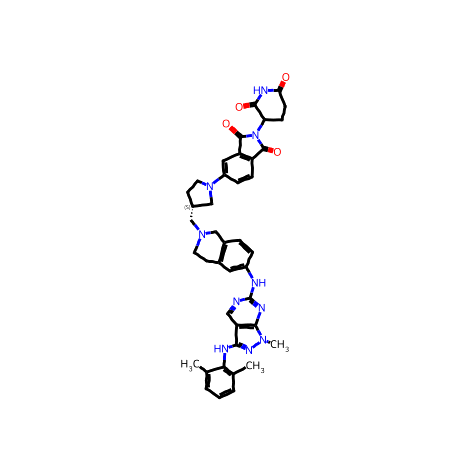 Cc1cccc(C)c1Nc1nn(C)c2nc(Nc3ccc4c(c3)CCN(C[C@@H]3CCN(c5ccc6c(c5)C(=O)N(C5CCC(=O)NC5=O)C6=O)C3)C4)ncc12